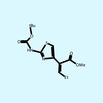 CCC=C(C(=O)OC)c1csc(NC(=O)OC(C)(C)C)n1